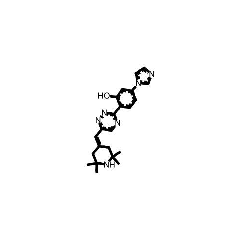 CC1(C)CC(=Cc2cnc(-c3ccc(-n4ccnc4)cc3O)nn2)CC(C)(C)N1